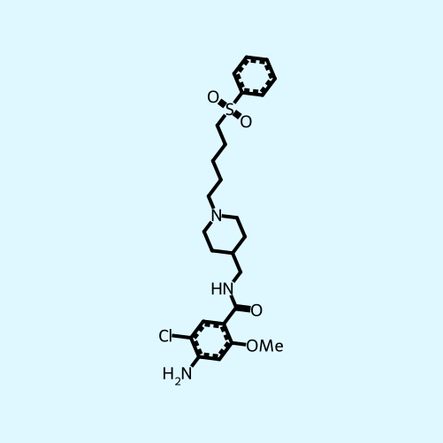 COc1cc(N)c(Cl)cc1C(=O)NCC1CCN(CCCCCS(=O)(=O)c2ccccc2)CC1